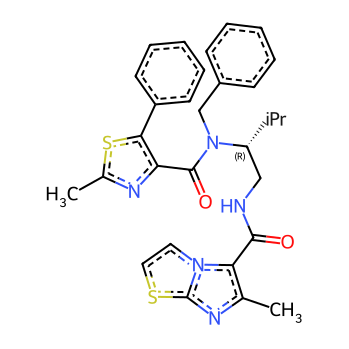 Cc1nc(C(=O)N(Cc2ccccc2)[C@@H](CNC(=O)c2c(C)nc3sccn23)C(C)C)c(-c2ccccc2)s1